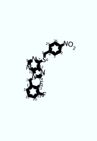 O=[N+]([O-])c1ccc(CSc2ncnc3c2ncn3Cc2cccc(F)c2F)cc1